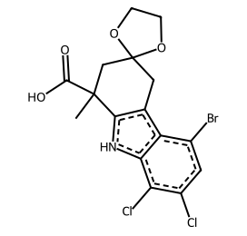 CC1(C(=O)O)CC2(Cc3c1[nH]c1c(Cl)c(Cl)cc(Br)c31)OCCO2